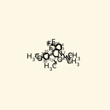 CCC[C@H]1C(=O)N(CCN(C)C)c2cccc(C(F)(F)F)c2C[C@H]1c1ccc(OC)cc1